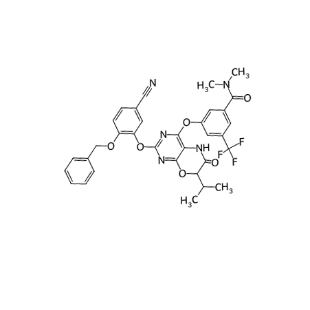 CC(C)C1Oc2nc(Oc3cc(C#N)ccc3OCc3ccccc3)nc(Oc3cc(C(=O)N(C)C)cc(C(F)(F)F)c3)c2NC1=O